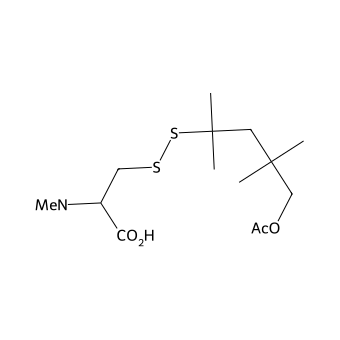 CNC(CSSC(C)(C)CC(C)(C)COC(C)=O)C(=O)O